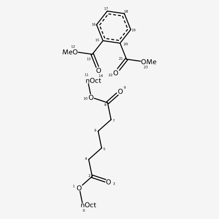 CCCCCCCCOC(=O)CCCCC(=O)OCCCCCCCC.COC(=O)c1ccccc1C(=O)OC